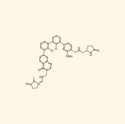 COc1nc(-c2cccc(-c3cccc(-c4ccn5c(=O)c(CNC[C@H]6CCC(=O)N6C)cnc5c4)c3Cl)c2Cl)ccc1CNCC1CCC(=O)N1